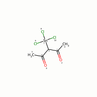 CC(=O)[CH](C(C)=O)[Sn]([Cl])([Cl])[Cl]